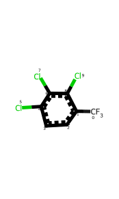 FC(F)(F)c1[c]cc(Cl)c(Cl)c1Cl